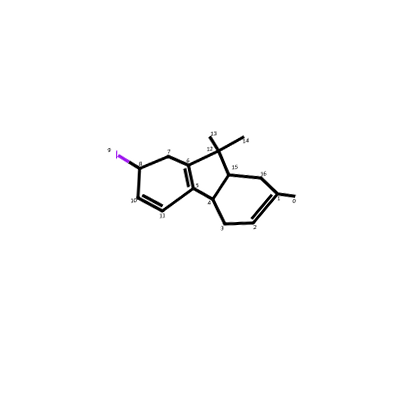 CC1=CCC2C3=C(CC(I)C=C3)C(C)(C)C2C1